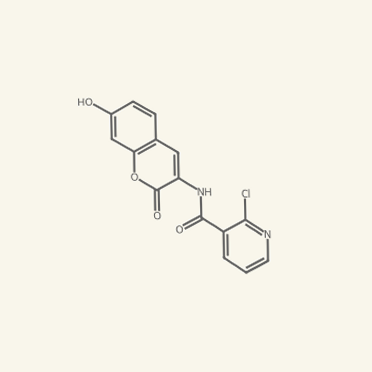 O=C(Nc1cc2ccc(O)cc2oc1=O)c1cccnc1Cl